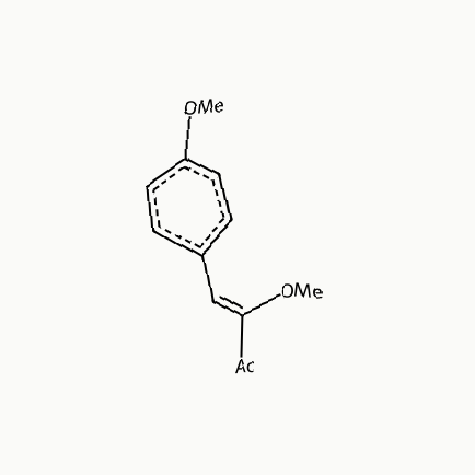 CO/C(=C\c1ccc(OC)cc1)C(C)=O